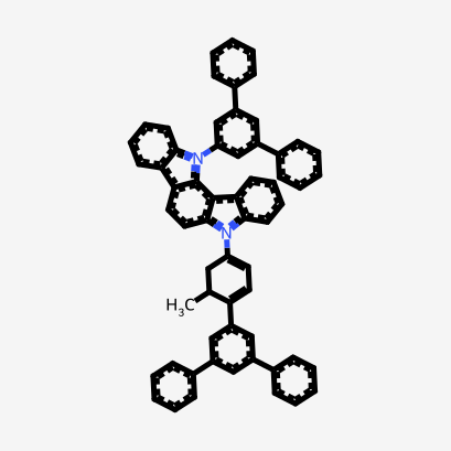 CC1CC(n2c3ccccc3c3c2ccc2c4ccccc4n(-c4cc(-c5ccccc5)cc(-c5ccccc5)c4)c23)=CC=C1c1cc(-c2ccccc2)cc(-c2ccccc2)c1